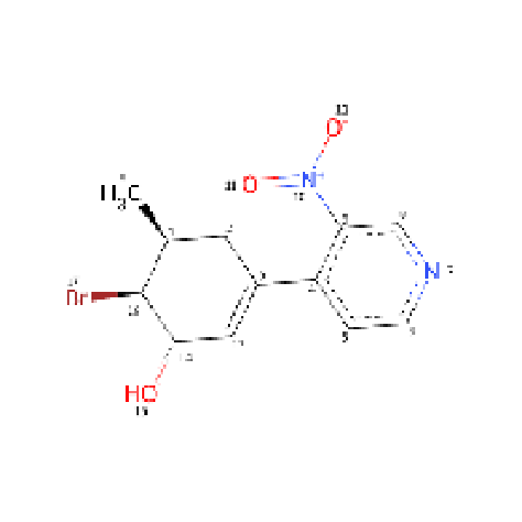 C[C@H]1CC(c2ccncc2[N+](=O)[O-])=C[C@H](O)[C@H]1Br